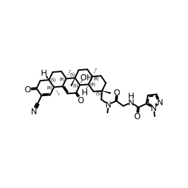 CN(C[C@@]1(C)CC[C@]2(C)CC[C@@]3(C)[C@]4(C)CC[C@H]5CC(=O)C(C#N)=C[C@]5(C)C4=CC(=O)[C@]3(O)[C@@H]2C1)C(=O)CNC(=O)c1ccnn1C